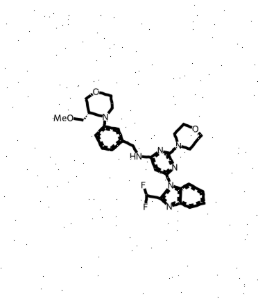 COC[C@@H]1COCCN1c1cccc(CNc2cc(-n3c(C(F)F)nc4ccccc43)nc(N3CCOCC3)n2)c1